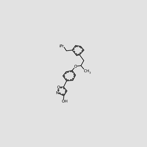 CC(C)Cc1cccc(CC(C)Oc2ccc(-c3cc(O)no3)cc2)c1